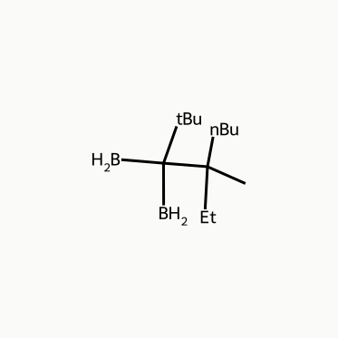 BC(B)(C(C)(C)C)C(C)(CC)CCCC